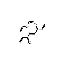 C=CC(=O)C=CC(=O)C=C.C=COC=C